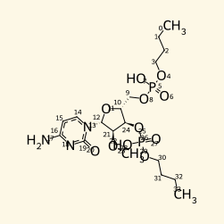 CCCCOP(=O)(O)OC[C@H]1O[C@@H](n2ccc(N)nc2=O)[C@H](OC)[C@@H]1OP(=O)(O)OCCCC